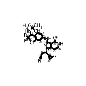 CC(C)(C)N[C@@H](c1ccc(Nc2nn(C(CC#N)C3CC3)c3cc[nH]c(=O)c23)cc1Cl)C(F)(F)F